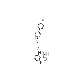 O=C1NCN(CCCCCN2CC=C(c3ccc(F)cc3)CC2)c2cccc(F)c21